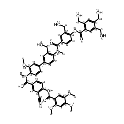 COc1cc(OC)c(C(=O)Oc2ccc(C(=O)N(C)c3ccc(-c4ccc(N(C)C(=O)c5ccc(OC(=O)c6cc(CO)c(CO)cc6CO)c(CO)c5)c(CO)c4)cc3OC)cc2C#N)cc1OC